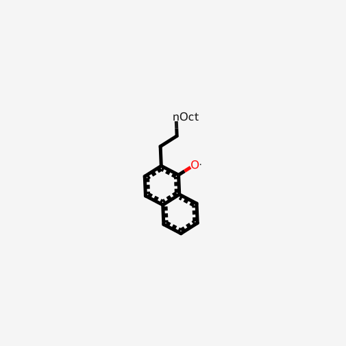 CCCCCCCCCCc1ccc2ccccc2c1[O]